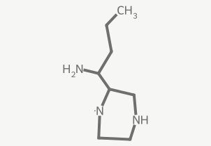 CCCC(N)C1CNCC[N]1